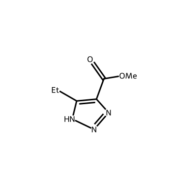 [CH2]Cc1[nH]nnc1C(=O)OC